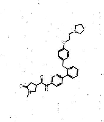 CN1CC(C(=O)Nc2ccc(-c3ccccc3Cc3ccc(OCCN4CCCC4)cc3)cc2)CC1=O